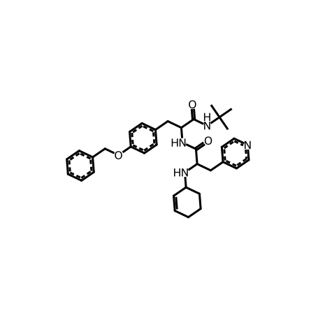 CC(C)(C)NC(=O)C(Cc1ccc(OCc2ccccc2)cc1)NC(=O)C(Cc1ccncc1)NC1C=CCCC1